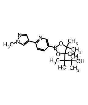 Cn1cc(-c2ccc(B3OC(C)(C)C(C)(C(C)(O)C(C)(C)O)O3)cn2)cn1